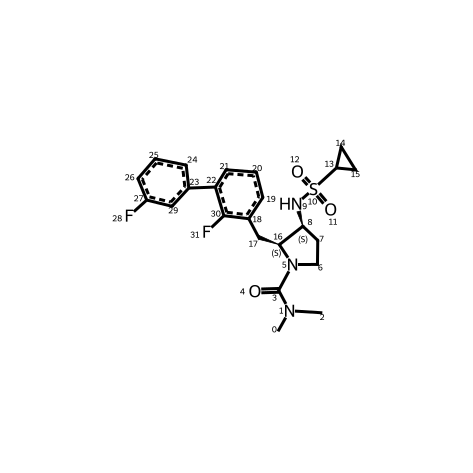 CN(C)C(=O)N1CC[C@H](NS(=O)(=O)C2CC2)[C@@H]1Cc1cccc(-c2cccc(F)c2)c1F